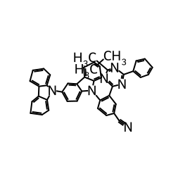 CC(C)(C)c1nc(-c2ccccc2)nc(-c2cc(C#N)ccc2-n2c3ccccc3c3cc(-n4c5ccccc5c5ccccc54)ccc32)n1